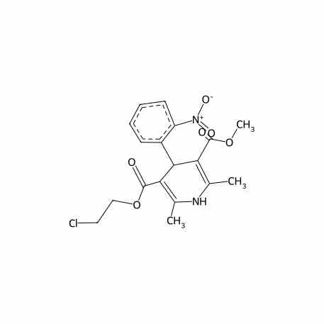 COC(=O)C1=C(C)NC(C)=C(C(=O)OCCCl)C1c1ccccc1[N+](=O)[O-]